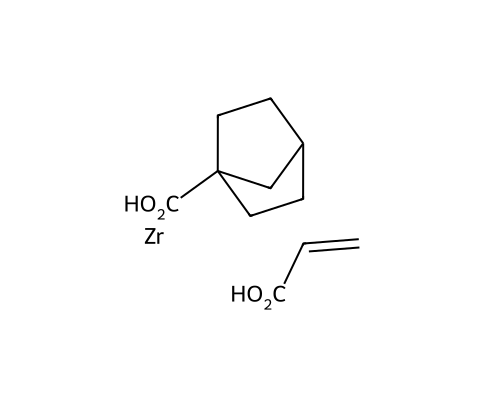 C=CC(=O)O.O=C(O)C12CCC(CC1)C2.[Zr]